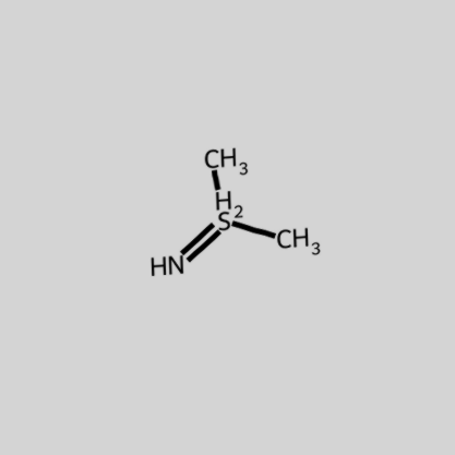 C[SH2](C)=N